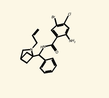 C=CCN1CC2CC1(C(NC(=O)c1cc(Br)c(Cl)cc1N)c1ccccc1)C2